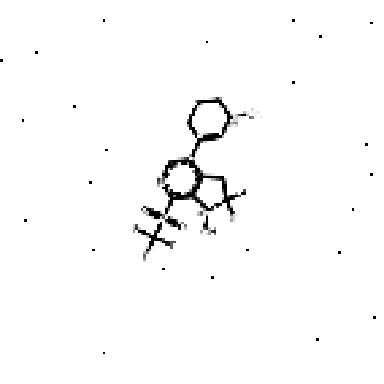 O=S(=O)(c1ncc(C2=C[C@H](O)CCC2)c2c1[C@H](O)C(F)(F)C2)C(F)(F)F